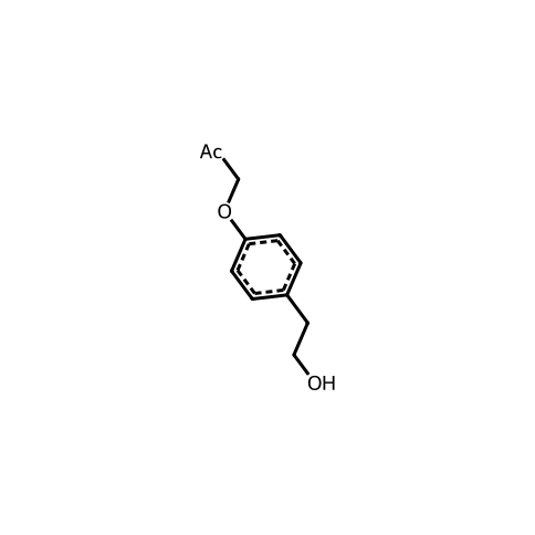 CC(=O)COc1ccc(CCO)cc1